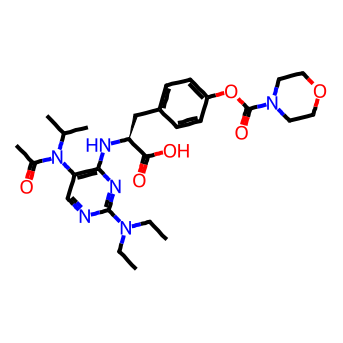 CCN(CC)c1ncc(N(C(C)=O)C(C)C)c(N[C@@H](Cc2ccc(OC(=O)N3CCOCC3)cc2)C(=O)O)n1